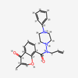 C=CCN(C(=O)c1cccc2c(=O)c(C)coc12)N1CCN(c2ccccc2)CC1